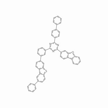 c1ccc(-c2ccc(-c3nc(-c4cccc(-c5ccc6c(c5)sc5ccc(-c7ccccc7)cc56)c4)nc(-c4ccc5c(c4)oc4ccccc45)n3)cc2)cc1